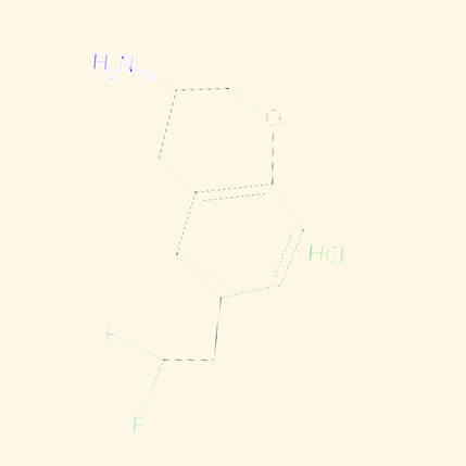 Cl.NC1COc2ccc(CC(F)F)cc2C1